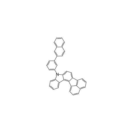 c1cc(-c2ccc3ccccc3c2)cc(-n2c3ccccc3c3c4c(ccc32)-c2cccc3cccc-4c23)c1